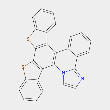 c1ccc2c(c1)sc1c3sc4ccccc4c3c3c(c4ccccc4c4nccn43)c21